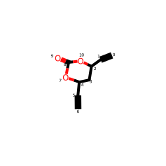 C#CC1CC(C#C)OC(=O)O1